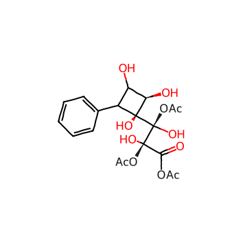 CC(=O)OC(=O)[C@@](O)(OC(C)=O)[C@](O)(OC(C)=O)[C@]1(O)C(c2ccccc2)C(O)[C@H]1O